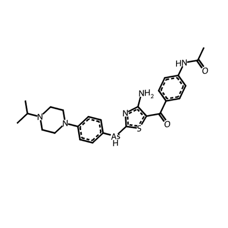 CC(=O)Nc1ccc(C(=O)c2sc([AsH]c3ccc(N4CCN(C(C)C)CC4)cc3)nc2N)cc1